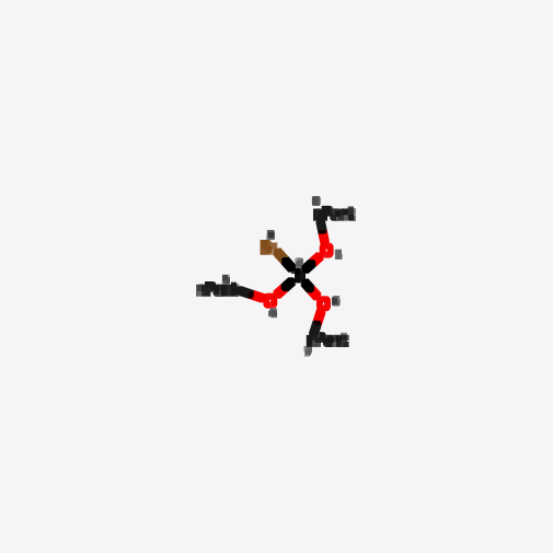 CCCCC[O][Ti]([Br])([O]CCCCC)[O]CCCCC